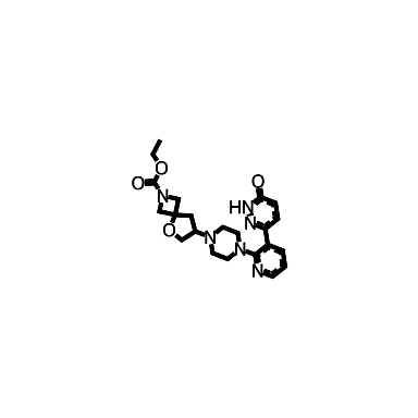 CCOC(=O)N1CC2(CC(N3CCN(c4ncccc4-c4ccc(=O)[nH]n4)CC3)CO2)C1